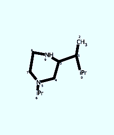 CC(C)C(C)C1CN(C(C)C)CCN1